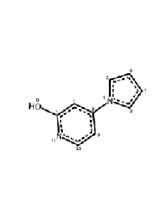 Oc1cc(-n2cccc2)ccn1